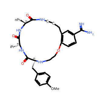 CCC[C@@H]1NC(=O)[C@@H](C(C)C)NC(=O)[C@@H](Cc2ccc(OC)cc2)NCCOc2ccc(C(=N)N)cc2CCCNC1=O